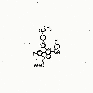 C=CC(=O)N1CCC(n2cc(-c3nc(-c4cnn5c4CNCC5)c4ccsc4c3-c3ccc(F)cc3OCCOC)cn2)CC1